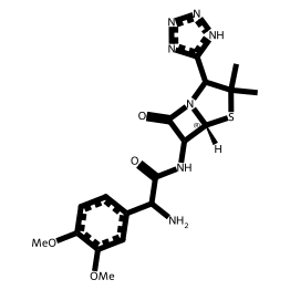 COc1ccc(C(N)C(=O)NC2C(=O)N3C(c4nnn[nH]4)C(C)(C)S[C@H]23)cc1OC